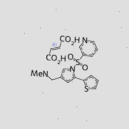 CNCc1cc(-c2cccs2)n(S(=O)(=O)c2cccnc2)c1.O=C(O)/C=C/C(=O)O